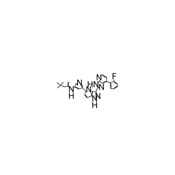 C=C(CC(C)(C)C)Nc1cncc(-c2ccc3[nH]nc(-c4nc5c(-c6ccccc6F)ccnc5[nH]4)c3n2)c1